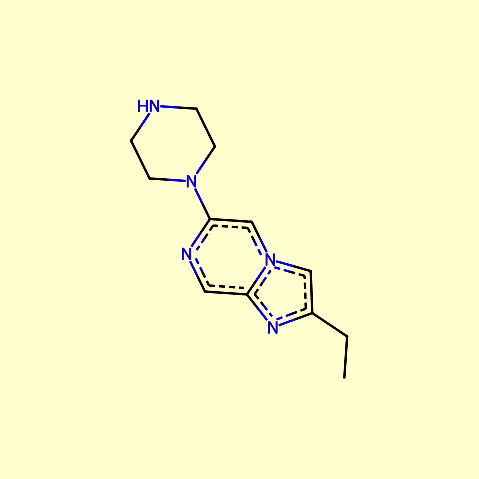 CCc1cn2cc(N3CCNCC3)ncc2n1